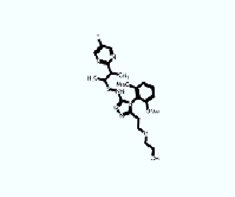 COc1cccc(OC)c1-n1c(CCOCCO)nnc1NSC(C)C(C)c1ncc(F)cn1